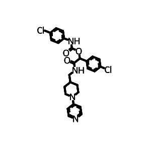 O=C(Nc1ccc(Cl)cc1)OC(C(=O)NCC1CCN(c2ccncc2)CC1)c1ccc(Cl)cc1